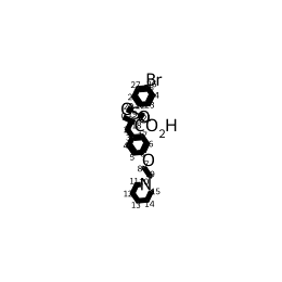 CC(Cc1ccc(OCCN2CCCCC2)cc1)(C(=O)O)S(=O)(=O)c1ccc(Br)cc1